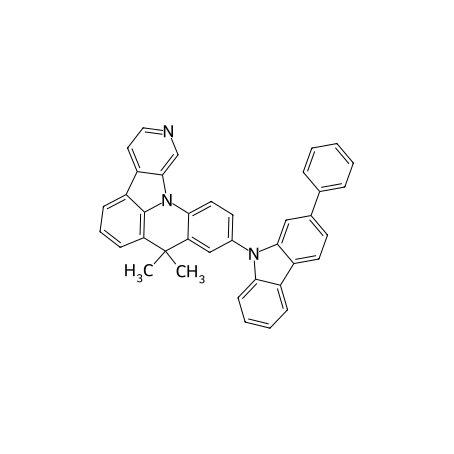 CC1(C)c2cc(-n3c4ccccc4c4ccc(-c5ccccc5)cc43)ccc2-n2c3cnccc3c3cccc1c32